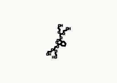 O=C(OCC(OCCO)OCCO)C1CCCCC1C(=O)OCC(OCCO)OCCO